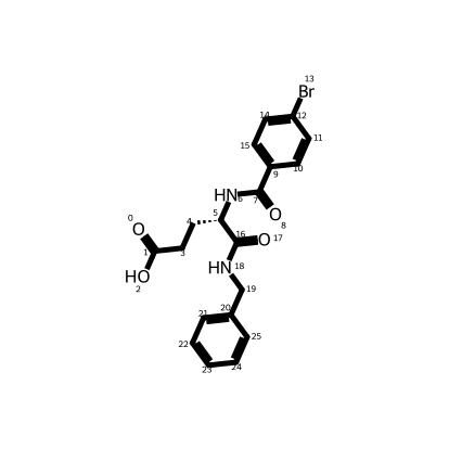 O=C(O)CC[C@H](NC(=O)c1ccc(Br)cc1)C(=O)NCc1ccccc1